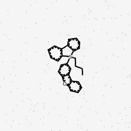 CCCC[Si]1(c2ccc3oc4ccccc4c3c2)c2ccccc2-c2ccccc21